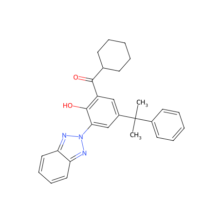 CC(C)(c1ccccc1)c1cc(C(=O)C2CCCCC2)c(O)c(-n2nc3ccccc3n2)c1